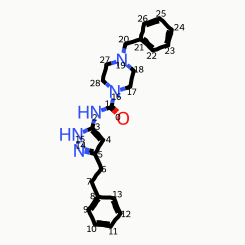 O=C(Nc1cc(CCc2ccccc2)n[nH]1)N1CCN(Cc2ccccc2)CC1